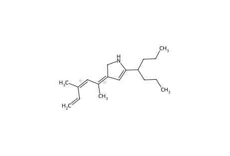 C=C/C(C)=C\C(C)=C1\C=C(C(CCC)CCC)NC1